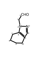 O=CCn1ncc2c1CCCC2